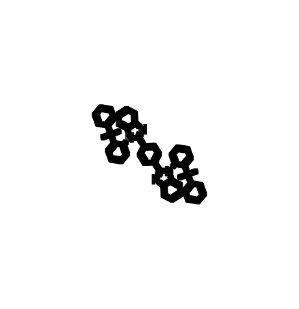 CC(C)(c1ccccc1)c1ccccc1-n1c(-c2ccc(-c3nc4ccccc4n3-c3ccccc3C(C)(C)c3ccccc3)cc2)nc2ccccc21